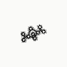 c1ccc(N(c2ccccc2)c2ccc3c(ccc4ccccc4ccc4cc(N(c5ccccc5)c5ccccc5)ccc4c4c5ccccc5c3c3ccccc34)c2)cc1